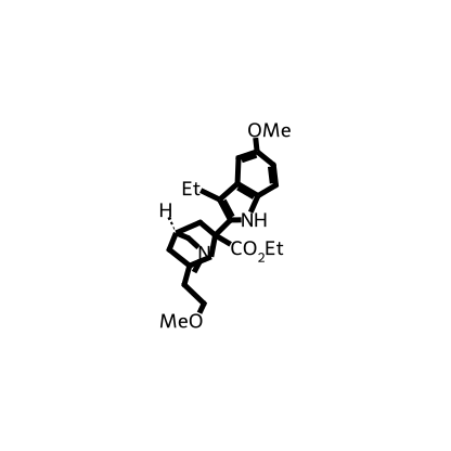 CCOC(=O)C1(c2[nH]c3ccc(OC)cc3c2CC)C[C@@H]2CC(CCOC)C1N(C)C2